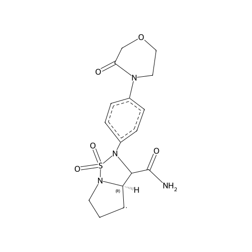 NC(=O)C1[C@H]2[CH]CCN2S(=O)(=O)N1c1ccc(N2CCOCC2=O)cc1